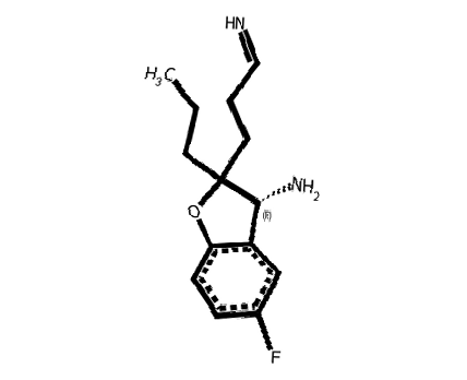 CCCC1(CCC=N)Oc2ccc(F)cc2[C@H]1N